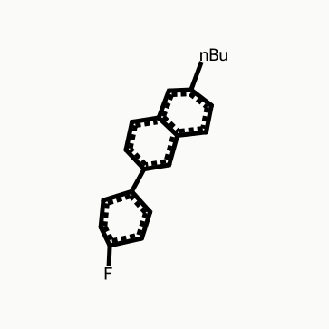 CCCCc1ccc2cc(-c3ccc(F)cc3)ccc2c1